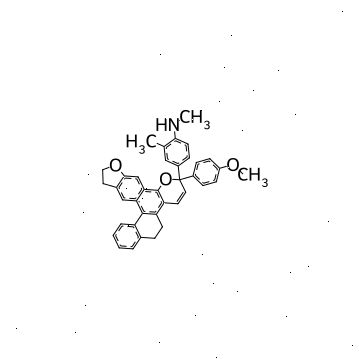 CNc1ccc(C2(c3ccc(OC)cc3)C=Cc3c4c(c5cc6c(cc5c3O2)OCC6)-c2ccccc2CC4)cc1C